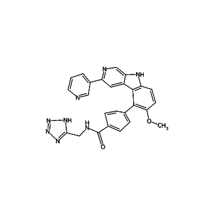 COc1ccc2[nH]c3cnc(-c4cccnc4)cc3c2c1-c1ccc(C(=O)NCc2nnn[nH]2)cc1